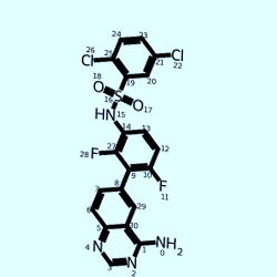 Nc1ncnc2ccc(-c3c(F)ccc(NS(=O)(=O)c4cc(Cl)ccc4Cl)c3F)cc12